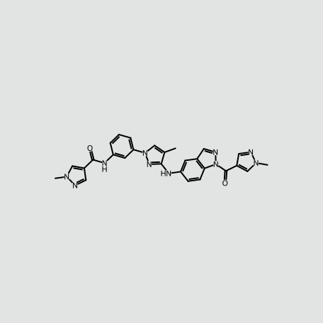 Cc1cn(-c2cccc(NC(=O)c3cnn(C)c3)c2)nc1Nc1ccc2c(cnn2C(=O)c2cnn(C)c2)c1